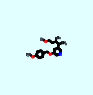 CCCCC(CCOCC)C(C)c1cncc(OCc2ccc(OC(F)(F)F)cc2)c1